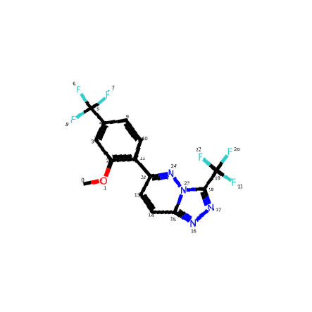 COc1cc(C(F)(F)F)ccc1-c1ccc2nnc(C(F)(F)F)n2n1